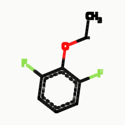 C[CH]Oc1c(F)cccc1F